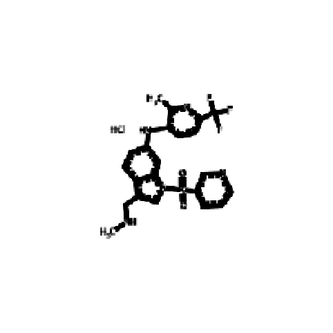 CNCc1cn(S(=O)(=O)c2cccnc2)c2cc(Nc3ccc(C(F)(F)F)nc3C)ccc12.Cl